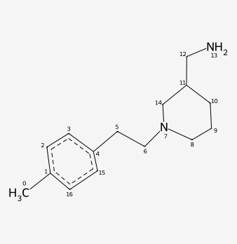 Cc1ccc(CCN2CCCC(CN)C2)cc1